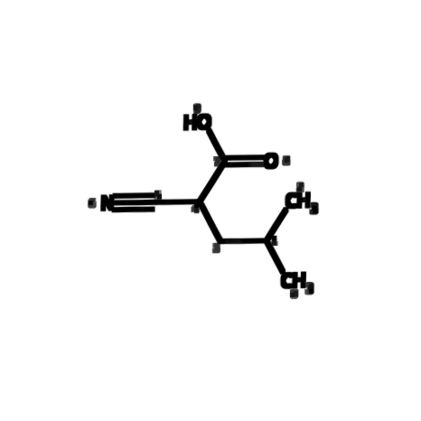 CC(C)CC(C#N)C(=O)O